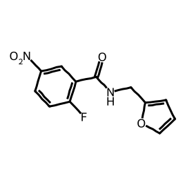 O=C(NCc1ccco1)c1cc([N+](=O)[O-])ccc1F